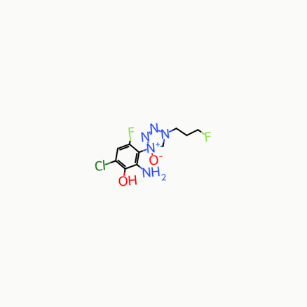 Nc1c(O)c(Cl)cc(F)c1[N+]1([O-])CN(CCCF)N=N1